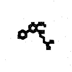 CCN(CC)CCCNc1cc(-c2ccncc2)cnc1N